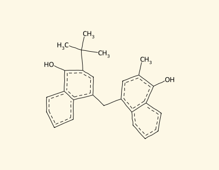 Cc1cc(Cc2cc(C(C)(C)C)c(O)c3ccccc23)c2ccccc2c1O